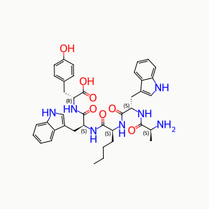 CCCC[C@H](NC(=O)[C@H](Cc1c[nH]c2ccccc12)NC(=O)[C@H](C)N)C(=O)N[C@@H](Cc1c[nH]c2ccccc12)C(=O)N[C@H](Cc1ccc(O)cc1)C(=O)O